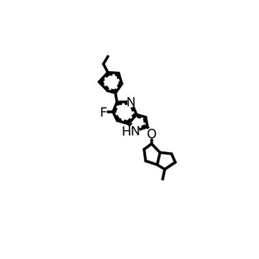 CCc1ccc(-c2nc3cc(OC4CCC5C(C)CCC45)[nH]c3cc2F)cc1